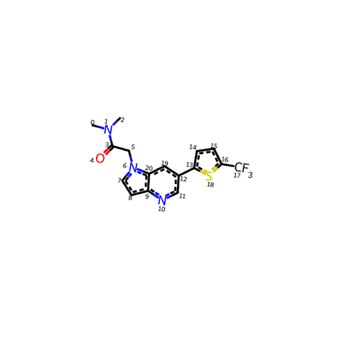 CN(C)C(=O)Cn1ccc2ncc(-c3ccc(C(F)(F)F)s3)cc21